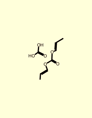 CC=COC(=O)OC=CC.O=C(O)O